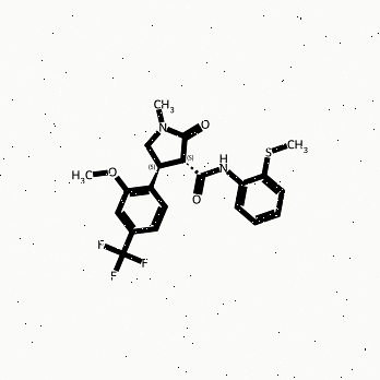 COc1cc(C(F)(F)F)ccc1[C@H]1CN(C)C(=O)[C@@H]1C(=O)Nc1ccccc1SC